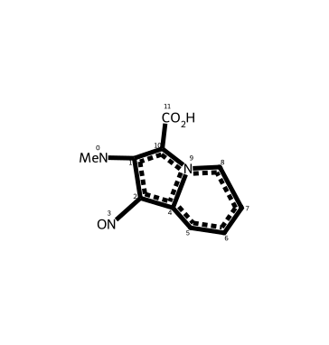 CNc1c(N=O)c2ccccn2c1C(=O)O